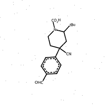 CC(C)(C)C1CC(C#N)(c2ccc(C=O)cc2)CCN1C(=O)O